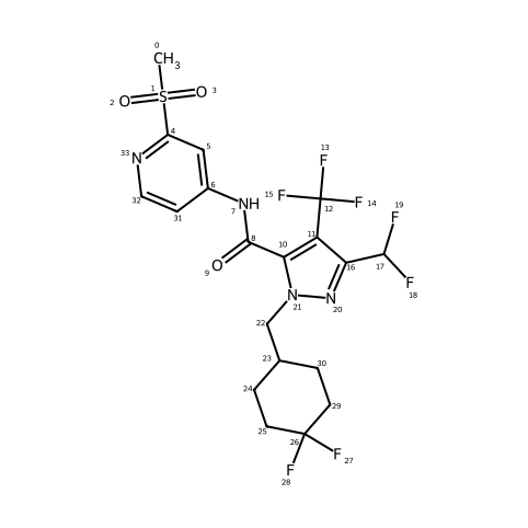 CS(=O)(=O)c1cc(NC(=O)c2c(C(F)(F)F)c(C(F)F)nn2CC2CCC(F)(F)CC2)ccn1